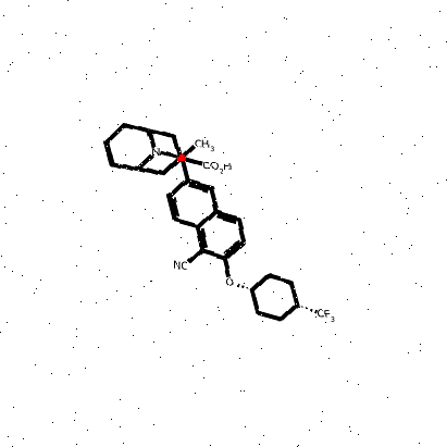 CC(c1ccc2c(C#N)c(O[C@H]3CC[C@@H](C(F)(F)F)CC3)ccc2c1)N1C2CCCC1CC(C(=O)O)C2